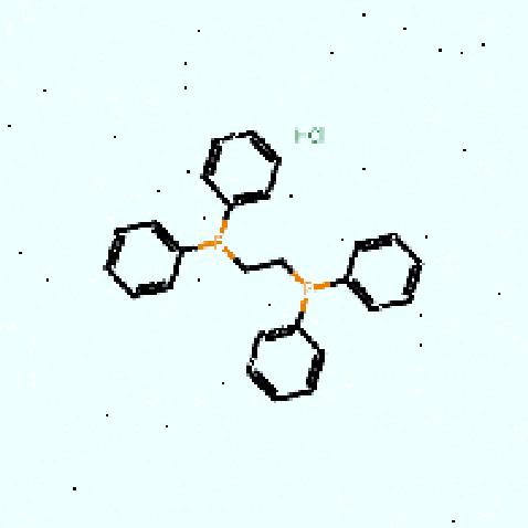 Cl.c1ccc(P(CCP(c2ccccc2)c2ccccc2)c2ccccc2)cc1